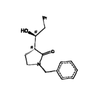 CC(C)C[C@H](O)[C@H]1CCN(Cc2ccccc2)C1=O